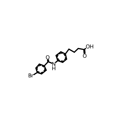 O=C(O)CCCc1ccc(NC(=O)c2ccc(Br)cc2)cc1